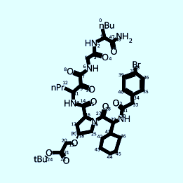 CCCCC(NC(=O)CNC(=O)C(=O)C(CCC)NC(=O)C1C[C@@H](OCC(=O)OC(C)(C)C)CN1C(=O)C(NC(=O)Cc1ccc(Br)cc1)C1CCCCC1)C(N)=O